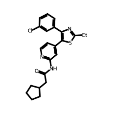 CCc1nc(-c2cccc(Cl)c2)c(-c2ccnc(NC(=O)CC3CCCC3)c2)s1